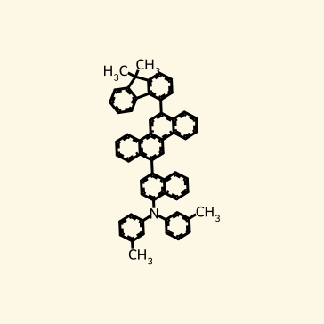 Cc1cccc(N(c2cccc(C)c2)c2ccc(-c3cc4c5ccccc5c(-c5cccc6c5-c5ccccc5C6(C)C)cc4c4ccccc34)c3ccccc23)c1